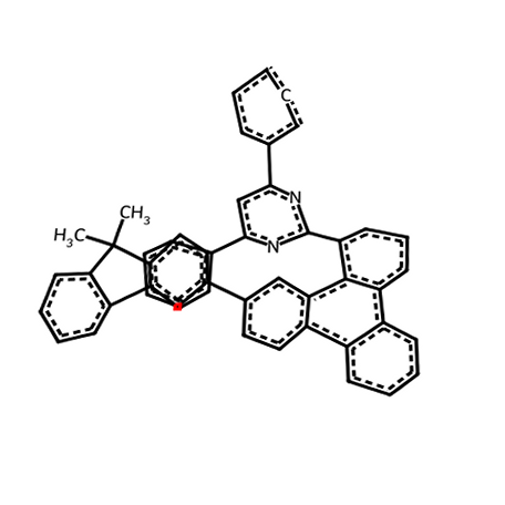 CC1(C)c2ccccc2-c2cc(-c3ccc4c5ccccc5c5cccc(-c6nc(-c7ccccc7)cc(-c7ccccc7)n6)c5c4c3)ccc21